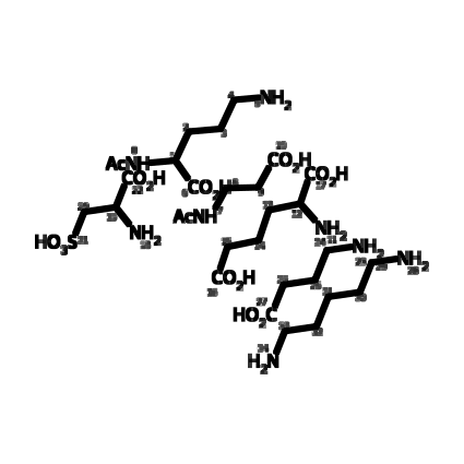 CC(=O)NC(CCCN)C(=O)O.CC(=O)NCCC(=O)O.NC(CCCC(=O)O)C(=O)O.NC(CS(=O)(=O)O)C(=O)O.NCCCC(=O)O.NCCCCCN